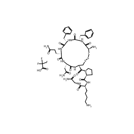 NCCCC[C@H](NC(=O)[C@@H]1CCCN1C(=O)[C@@H]1CSSC[C@H](N)C(=O)N[C@@H](Cc2ccccc2)C(=O)N[C@@H](Cc2ccccc2)C(=O)N[C@@H](CCC(N)=O)C(=O)N[C@@H](CC(N)=O)C(=O)N1)C(=O)NCC(N)=O.O=C(O)C(F)(F)F